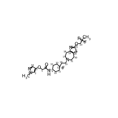 Cn1cc(OCC(=O)N[C@H]2CC[C@](F)(CCN3CCc4nc(OCC(C)(F)F)sc4CC3)CC2)cn1